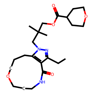 CCc1nn(CC(C)(C)COC(=O)C2CCOCC2)c2c1C(=O)NCCCOCCC2